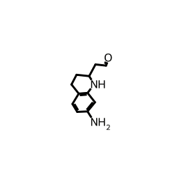 Nc1ccc2c(c1)NC(CC=O)CC2